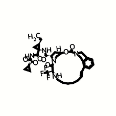 C=C[C@@H]1C[C@]1(NC(=O)[C@@H]1C[C@@H]2CN1C(=O)[C@H](C(F)(F)F)NCCCCC/C=C/c1cccc3c1CN(C3)C(=O)O2)C(=O)NS(=O)(=O)C1CC1